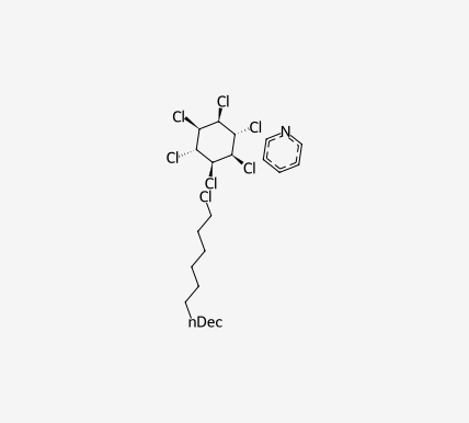 CCCCCCCCCCCCCCCCCl.Cl[C@H]1[C@H](Cl)[C@@H](Cl)[C@@H](Cl)[C@H](Cl)[C@H]1Cl.c1ccncc1